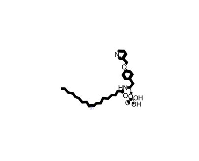 CCCCCCCC/C=C\CCCCCCCC(=O)N[C@@H](COP(=O)(O)O)Cc1ccc(OCc2cccnc2)cc1